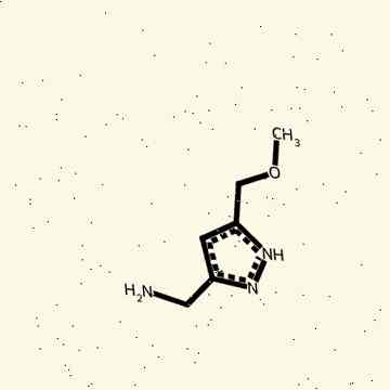 COCc1cc(CN)n[nH]1